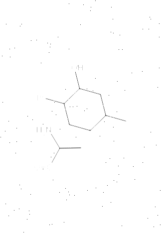 CC(N)C=O.CC1CCC(C(C)C)C(O)C1